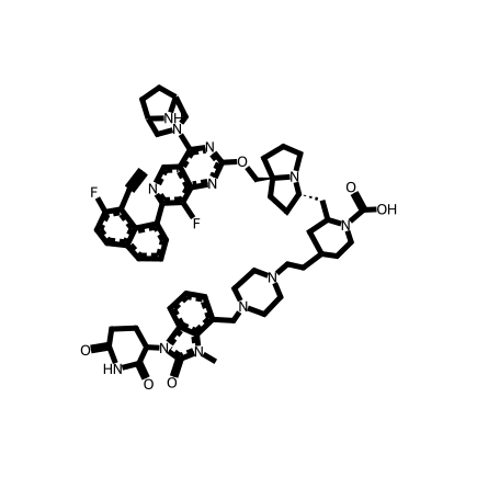 C#Cc1c(F)ccc2cccc(-c3ncc4c(N5CC6CCC(C5)N6)nc(OC[C@@]56CCCN5[C@H](CC5CC(CCN7CCN(Cc8cccc9c8n(C)c(=O)n9C8CCC(=O)NC8=O)CC7)CCN5C(=O)O)CC6)nc4c3F)c12